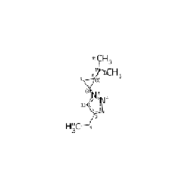 CCc1cnn([C@H]2C[C@H]2C(C)C)c1